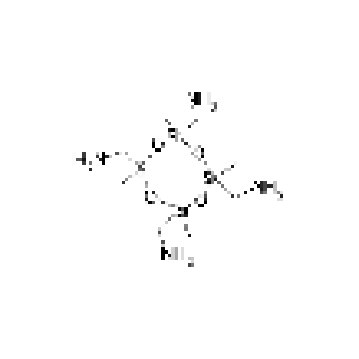 C[Si]1(CN)O[Si](C)(CN)O[Si](C)(CN)O[Si](C)(CN)O1